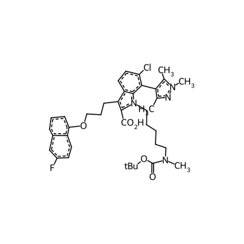 Cc1nn(C)c(C)c1-c1c(Cl)ccc2c(CCCOc3cccc4cc(F)ccc34)c(C(=O)O)n(CCCCCN(C)C(=O)OC(C)(C)C)c12